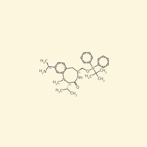 CC(C)[C@H]1C(=O)N[C@H](CO[Si](c2ccccc2)(c2ccccc2)C(C)(C)C)Cc2ccc([C@H](C)N)cc2N1C